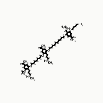 CCCCCOc1cc(C(C)=O)cc(OCCCCCCCCCCOc2cc(C(C)=O)cc(OCCCCCCCOc3cc(C(C)=O)cc(OCC)c3CCCNC)c2CCCNC)c1CNC